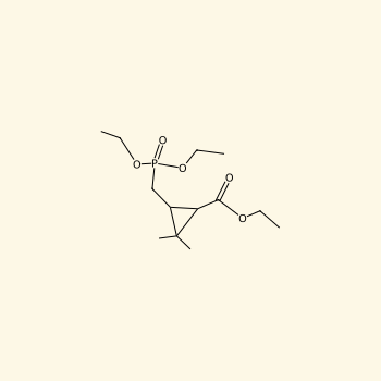 CCOC(=O)C1C(CP(=O)(OCC)OCC)C1(C)C